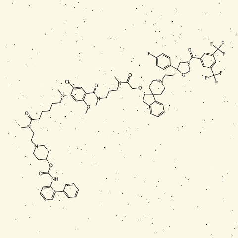 COc1cc(N(C)CCCCCC(=O)N(C)CCN2CCC(OC(=O)Nc3ccccc3-c3ccccc3)CC2)c(Cl)cc1C(=O)N(C)CCCN(C)C(=O)CO[C@H]1Cc2ccccc2C12CCN(CC[C@]1(c3ccc(F)cc3)CN(C(=O)c3cc(C(F)(F)F)cc(C(F)(F)F)c3)CO1)CC2